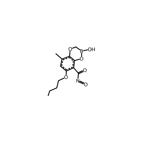 CCCCOc1cc(C)c2c(c1C(=O)N=O)OB(O)CO2